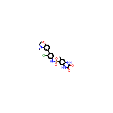 Cc1cc2[nH]c(=O)c(=O)[nH]c2cc1S(=O)(=O)Nc1ccc(-c2ccc3c(c2)N(C)CCO3)c(Cl)c1